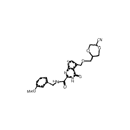 COc1cccc(CNC(=O)c2nc3scc(COCC4COC(C#N)CO4)c3c(=O)[nH]2)c1